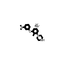 Cc1c(Oc2cccc(N(C)C)c2)cccc1N1CCNCC1.[H-].[Na+]